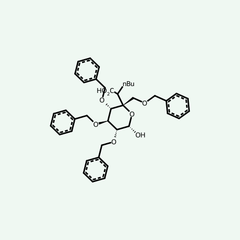 CCCCC(C(=O)O)[C@]1(COCc2ccccc2)O[C@H](O)[C@H](OCc2ccccc2)[C@@H](OCc2ccccc2)[C@@H]1OCc1ccccc1